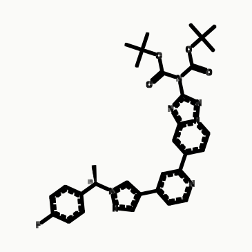 C[C@H](c1ccc(F)cc1)n1cc(-c2ccnc(-c3ccn4nc(N(C(=O)OC(C)(C)C)C(=O)OC(C)(C)C)nc4c3)c2)cn1